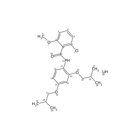 COc1cccc(Cl)c1C(=O)Pc1ccc(OCC(C)C)cc1OCC(C)C.[LiH]